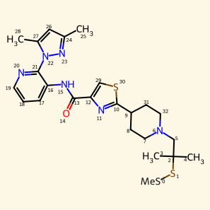 CSSC(C)(C)CN1CCC(c2nc(C(=O)Nc3cccnc3-n3nc(C)cc3C)cs2)CC1